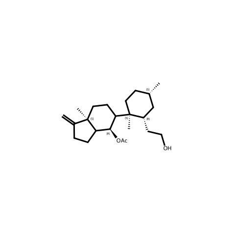 C=C1CCC2[C@H](OC(C)=O)C([C@@]3(C)CC[C@H](C)C[C@@H]3CCO)CC[C@]12C